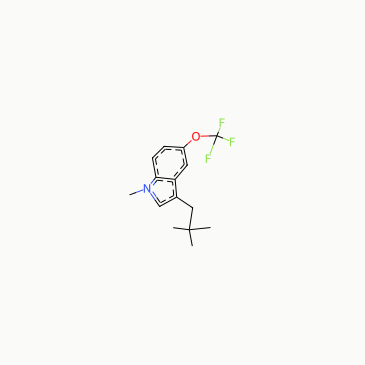 Cn1cc(CC(C)(C)C)c2cc(OC(F)(F)F)ccc21